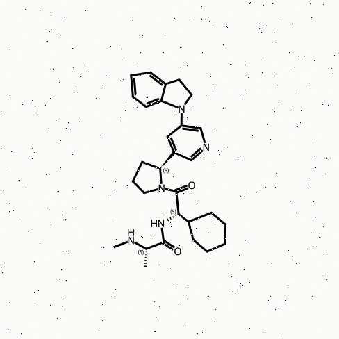 CN[C@@H](C)C(=O)N[C@H](C(=O)N1CCC[C@H]1c1cncc(N2CCc3ccccc32)c1)C1CCCCC1